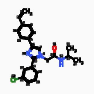 C=Cc1ccc(-c2cn(CC(=O)NC(C)C)c(-c3cccc(Cl)c3)n2)cc1